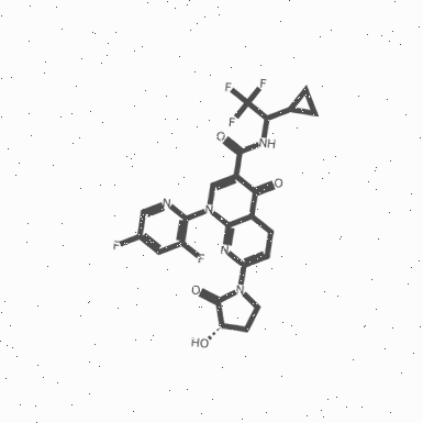 O=C(NC(C1CC1)C(F)(F)F)C1=CN(c2ncc(F)cc2F)C2=NC(N3CC[C@H](O)C3=O)=CCC2C1=O